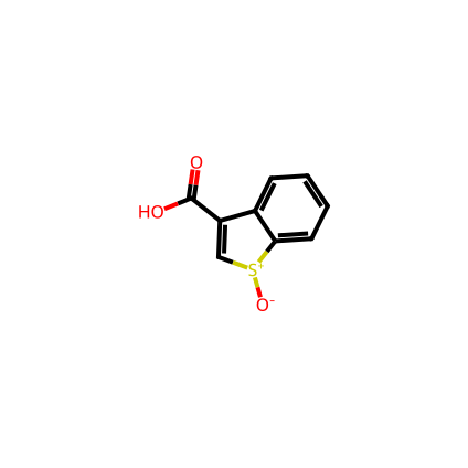 O=C(O)c1c[s+]([O-])c2ccccc12